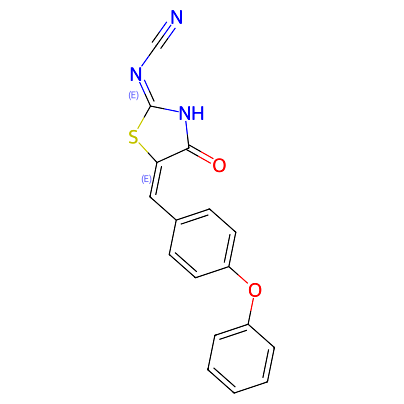 N#C/N=C1\NC(=O)/C(=C\c2ccc(Oc3ccccc3)cc2)S1